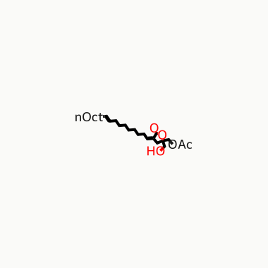 CCCCCCCCC=CCCCCCCC/C=C1/CC(CO)(COC(C)=O)OC1=O